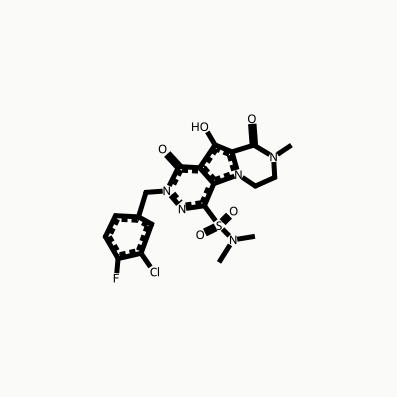 CN1CCn2c(c(O)c3c(=O)n(Cc4ccc(F)c(Cl)c4)nc(S(=O)(=O)N(C)C)c32)C1=O